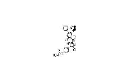 Cc1ccc(-n2cnnn2)c(-c2cc(=O)n3c(n2)CC[C@H]3c2nc(Cl)c(-c3ccc(OC(N)=O)cc3)[nH]2)c1